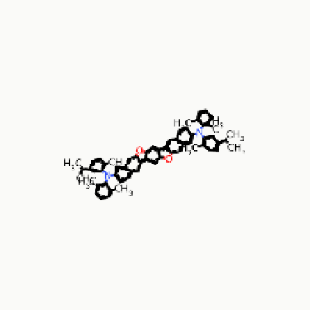 Cc1ccc(C(C)C)cc1N(c1ccc2cc3c(cc2c1)oc1cc2c(cc13)oc1cc3cc(N(c4cc(C(C)C)ccc4C)c4c(C)cccc4C)ccc3cc12)c1c(C)cccc1C